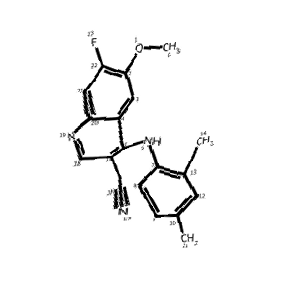 COc1cc2c(Nc3ccc(C)cc3C)c(C#N)cnc2cc1F